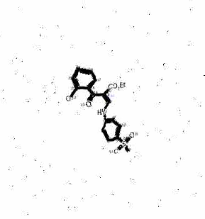 CCOC(=O)/C(=C/Nc1ccc(S(C)(=O)=O)cc1)C(=O)c1ccccc1Cl